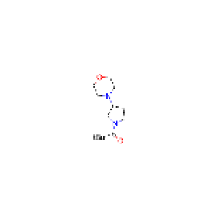 CC(C)(C)C(=O)N1CCC(N2CCOCC2)C1